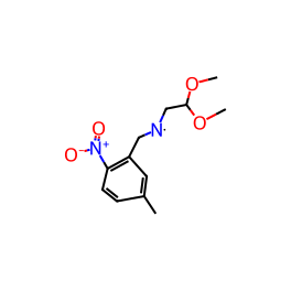 COC(C[N]Cc1cc(C)ccc1[N+](=O)[O-])OC